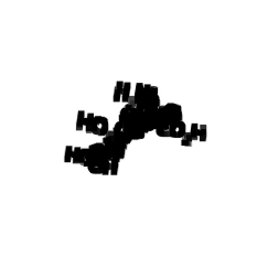 Nc1nc(/C(=N/OC(C(=O)O)c2ccccc2)C(=O)N[C@@H]2C(=O)N3C(C(=O)O)=C(CSc4nnc(-c5ccc(O)c(O)c5)s4)CS[C@H]23)cs1